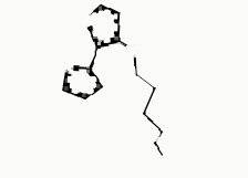 CCCCCCOc1ccsc1-c1cccs1